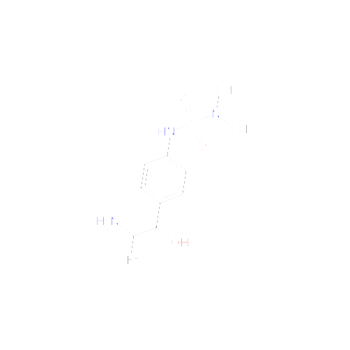 CCC(N)C(O)c1ccc(NS(=O)(=O)N(C)C)cc1